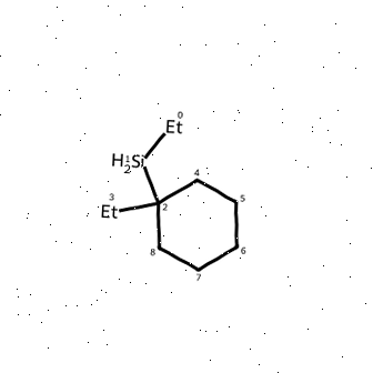 CC[SiH2]C1(CC)CCCCC1